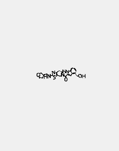 O=C(c1cc2c(CO)cccc2[nH]1)N1CCc2nc(NCC3CCOC3)sc2C1